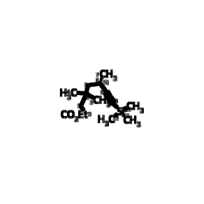 CCOC(=O)CC(C)(C)C[C@H](C)C#C[Si](C)(C)C